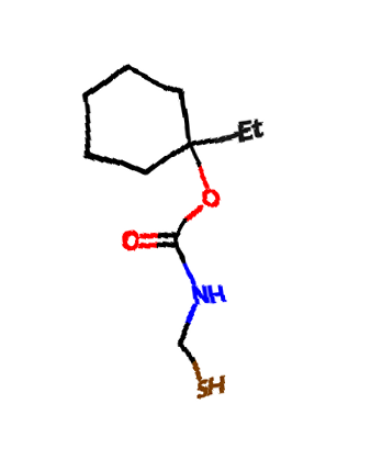 CCC1(OC(=O)NCS)CCCCC1